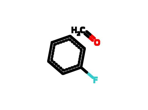 C=O.Fc1ccccc1